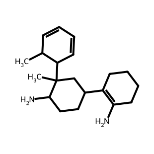 CC1C=CC=CC1C1(C)CC(C2=C(N)CCCC2)CCC1N